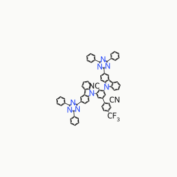 N#Cc1cc(C(F)(F)F)ccc1-c1cc(-n2c3ccccc3c3cc(-c4nc(-c5ccccc5)nc(-c5ccccc5)n4)ccc32)c(C#N)c(-n2c3ccccc3c3cc(-c4nc(-c5ccccc5)nc(-c5ccccc5)n4)ccc32)c1